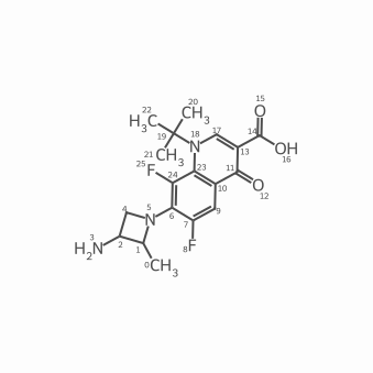 CC1C(N)CN1c1c(F)cc2c(=O)c(C(=O)O)cn(C(C)(C)C)c2c1F